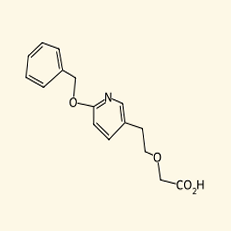 O=C(O)COCCc1ccc(OCc2ccccc2)nc1